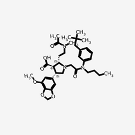 CCCCN(C(=O)CN1C[C@H](c2cc(OC)c3c(c2)OCO3)[C@@H](C(=O)O)[C@@H]1CCN(C)C(C)=O)c1cccc(CC(C)(C)C)c1